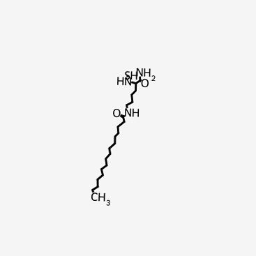 CCCCCCCCCCCCCCCC(=O)NCCCCC(NS)C(N)=O